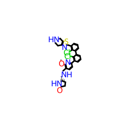 COc1nc(-c2cccc(-c3cccc(-c4nc5c(s4)CNCC5)c3Cl)c2Cl)ccc1CNC[C@@H]1CCC(=O)N1